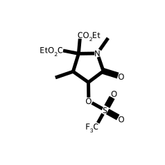 CCOC(=O)C1(C(=O)OCC)C(C)C(OS(=O)(=O)C(F)(F)F)C(=O)N1C